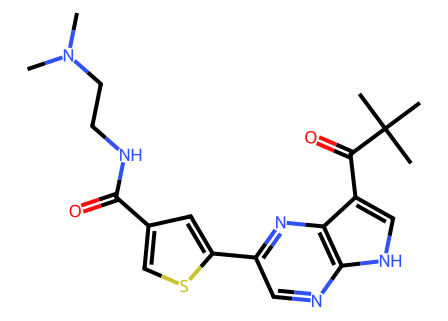 CN(C)CCNC(=O)c1csc(-c2cnc3[nH]cc(C(=O)C(C)(C)C)c3n2)c1